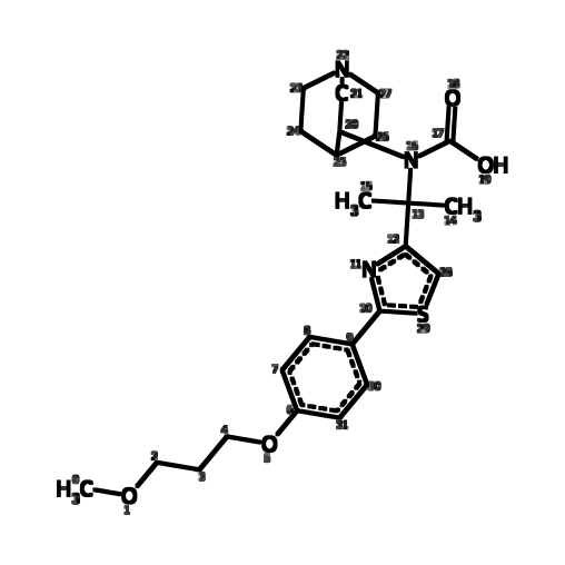 COCCCOc1ccc(-c2nc(C(C)(C)N(C(=O)O)C3CN4CCC3CC4)cs2)cc1